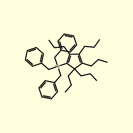 CCCC1=C(CCC)C(CCC)(CCC)[C]([Hf]([CH2]c2ccccc2)([CH2]c2ccccc2)[CH2]c2ccccc2)=C1CCC